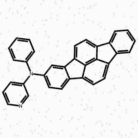 c1ccc(N(c2cccnc2)c2ccc3c(c2)-c2ccc4c5c(ccc-3c25)-c2ccccc2-4)cc1